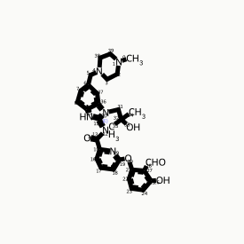 CN1CCN(Cc2ccc3[nH]/c(=N\C(=O)c4cccc(Oc5cccc(O)c5C=O)n4)n(CC(C)(C)O)c3c2)CC1